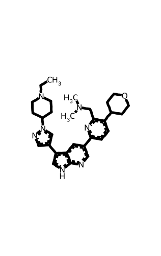 CCN1CCC(n2cc(-c3c[nH]c4ncc(-c5ccc(C6CCOCC6)c(CN(C)C)n5)cc34)cn2)CC1